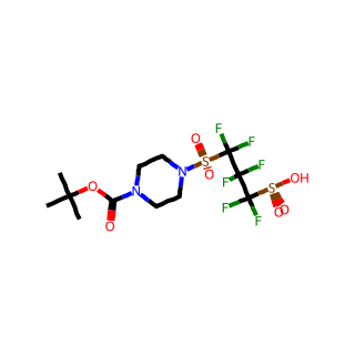 CC(C)(C)OC(=O)N1CCN(S(=O)(=O)C(F)(F)C(F)(F)C(F)(F)S(=O)(=O)O)CC1